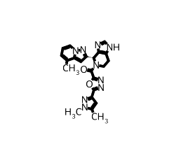 Cc1cccn2nc([C@@H]3c4nc[nH]c4CCN3C(=O)c3nnc(-c4cc(C)n(C)n4)o3)cc12